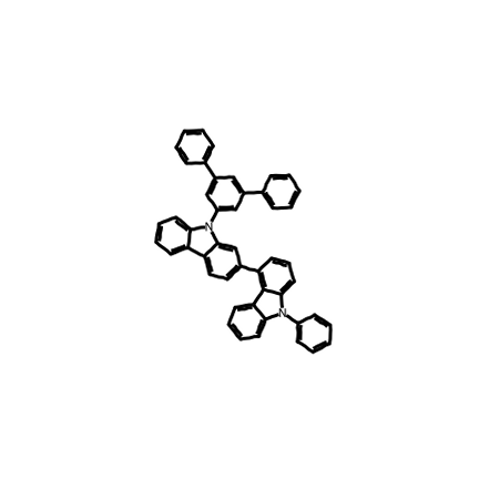 c1ccc(-c2cc(-c3ccccc3)cc(-n3c4ccccc4c4ccc(-c5cccc6c5c5ccccc5n6-c5ccccc5)cc43)c2)cc1